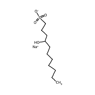 CCCCCCCC(O)CCCS(=O)(=O)[O-].[Na+]